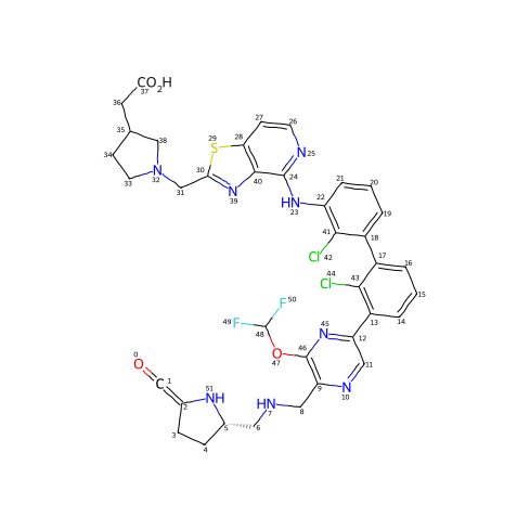 O=C=C1CC[C@@H](CNCc2ncc(-c3cccc(-c4cccc(Nc5nccc6sc(CN7CCC(CC(=O)O)C7)nc56)c4Cl)c3Cl)nc2OC(F)F)N1